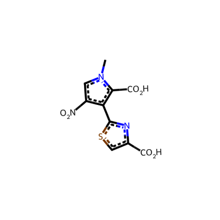 Cn1cc([N+](=O)[O-])c(-c2nc(C(=O)O)cs2)c1C(=O)O